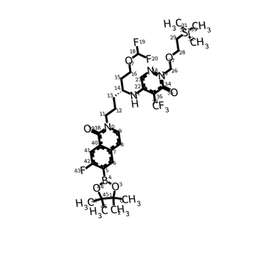 CC1(C)OB(c2cc3ccn(CCC[C@H](CCOC(F)F)Nc4cnn(COCC[Si](C)(C)C)c(=O)c4C(F)(F)F)c(=O)c3cc2F)OC1(C)C